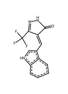 O=C1NN=C(C(F)(F)F)C1=Cc1c[nH]c2ccccc12